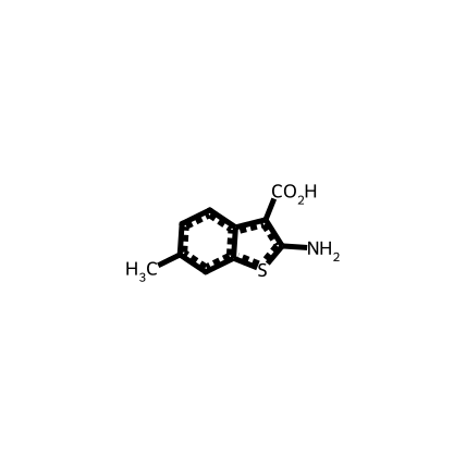 Cc1ccc2c(C(=O)O)c(N)sc2c1